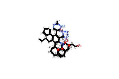 CCCCc1c(-c2ccccc2)c(-c2cnc(C)[nH]c2=O)c(-c2nnn[nH]2)c(N(C(=O)CCCBr)c2ccccc2)c1-c1cccc(C)c1-c1ccccc1